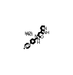 CN1CCN(c2ccc(C3=NC(=Cc4c[nH]c5ncccc45)C(=O)N3)cc2)CC1.Cl.Cl